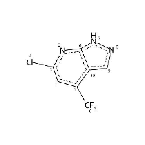 FC(F)(F)c1cc(Cl)nc2[nH]ncc12